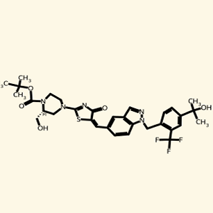 CC(C)(C)OC(=O)N1CCN(C2=NC(=O)C(=Cc3ccc4c(cnn4Cc4ccc(C(C)(C)O)cc4C(F)(F)F)c3)S2)C[C@@H]1CO